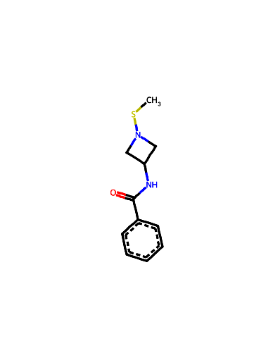 CSN1CC(NC(=O)c2ccccc2)C1